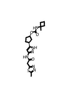 Cc1nnc(CC(=O)Nc2cc([C@H]3CC[C@@H](OC(=O)NC4(C)CCC4)C3)[nH]n2)s1